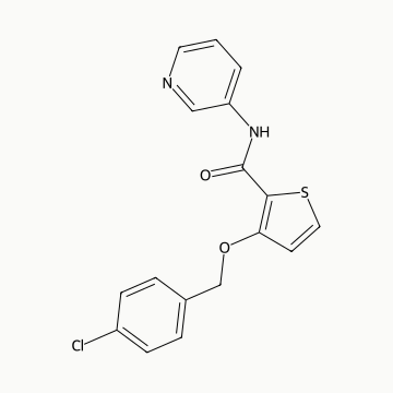 O=C(Nc1cccnc1)c1sccc1OCc1ccc(Cl)cc1